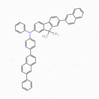 CC1(C)c2cc(-c3ccc4ccccc4c3)ccc2-c2ccc(N(c3ccccc3)c3ccc(-c4ccc5cc(-c6ccccc6)ccc5c4)cc3)cc21